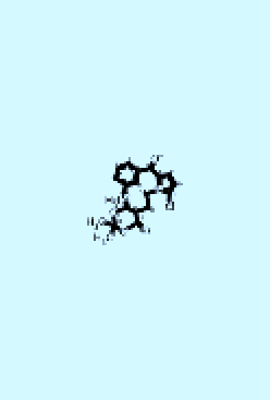 Cc1cccc(C(=O)c2ccc(Cl)n2CCC2C(=O)OC(C)(C)OC2=O)c1